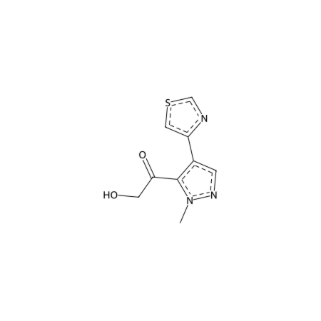 Cn1ncc(-c2cscn2)c1C(=O)CO